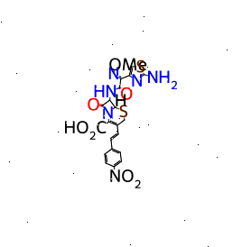 CON=C(C(=O)NC1C(=O)N2C(C(=O)O)=C(C=Cc3ccc([N+](=O)[O-])cc3)CS[C@@H]12)c1csc(N)n1